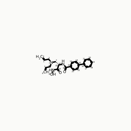 C=CCN(CC=C)C[C@H](NC(=O)c1ccc(-c2ccccc2)cc1)C(=O)NO